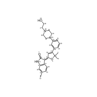 CC1(C)O/C(=C2/C(=O)Nc3cc(F)ccc32)C=C1c1ccnc(N2CCN(CCO)CC2)c1